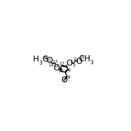 COCCOc1cc(C=O)cc(OCCOC)c1